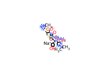 CN(C)c1ncc(N(C(N)=O)C(C(=O)NC2C(=O)N3C(C(=O)[O-])=C(CSc4nnnn4C)CS[C@@H]23)c2ccc(O)cc2)c(O)n1.[Na+]